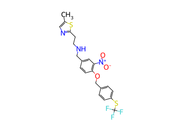 Cc1cnc(CCNCc2ccc(OCc3ccc(SC(F)(F)F)cc3)c([N+](=O)[O-])c2)s1